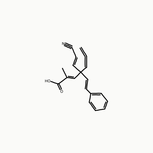 C=C=CC(C=CC#N)(C=Cc1ccccc1)C=C(C)C(=O)O